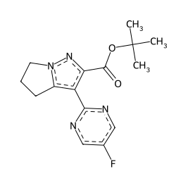 CC(C)(C)OC(=O)c1nn2c(c1-c1ncc(F)cn1)CCC2